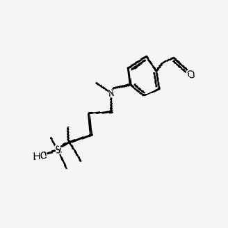 CN(CCCC(C)(C)[Si](C)(C)O)c1ccc(C=O)cc1